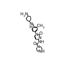 Cc1cc(-n2ccc(NC(=O)N3CCNCC3)nc2=O)ccc1CNC1CCC(N)CC1